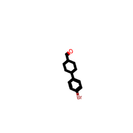 O=CC1CCC(c2ccc(Br)cc2)CC1